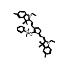 CCN1/C(=C/C=C2\CCC(/C=C/C3=[N+](CC)c4ccc(C)cc4C3(C)C)=C2O[Si](C)(C)c2ccccc2)C(C)(C)c2cc(C)ccc21